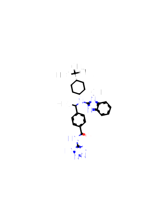 CC(c1ccc(C(=O)Nc2nnn[nH]2)cc1)N(c1nc2ccccc2n1C)[C@H]1CC[C@H](C(C)(C)C)CC1